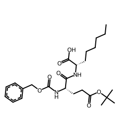 CCCCCC[C@H](NC(=O)[C@H](CCC(=O)OC(C)(C)C)NC(=O)OCc1ccccc1)C(=O)O